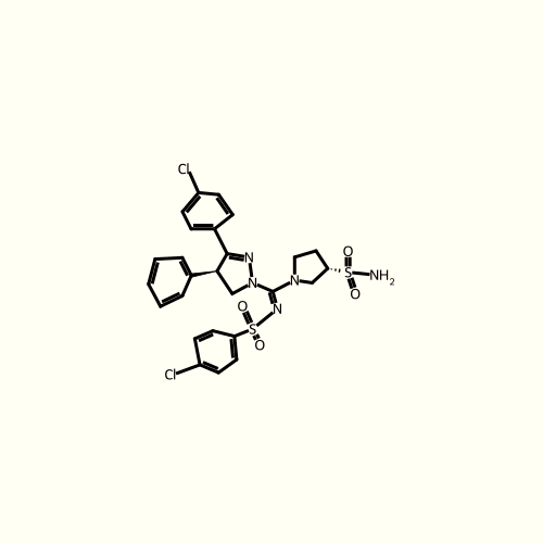 NS(=O)(=O)[C@H]1CCN(/C(=N/S(=O)(=O)c2ccc(Cl)cc2)N2C[C@@H](c3ccccc3)C(c3ccc(Cl)cc3)=N2)C1